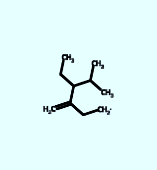 [CH2]CC(=C)C(CC)C(C)C